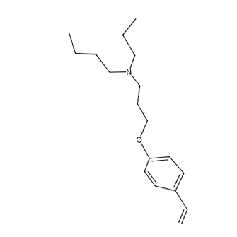 C=Cc1ccc(OCCCN(CCC)CCCC)cc1